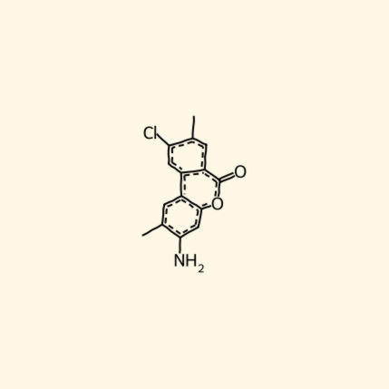 Cc1cc2c(cc1N)oc(=O)c1cc(C)c(Cl)cc12